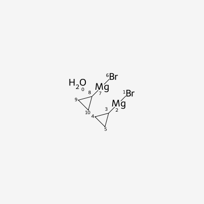 O.[Br][Mg][CH]1CC1.[Br][Mg][CH]1CC1